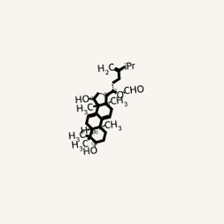 C=C(CC[C@H](OC=O)[C@H]1C[C@H](O)[C@@]2(C)C3=CC[C@H]4C(C)(C)[C@@H](O)CC[C@]4(C)C3=CC[C@]12C)C(C)C